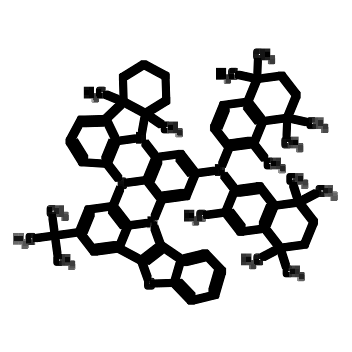 Cc1cc2c(cc1N(c1cc3c4c(c1)-n1c5c(cc(C(C)(C)C)cc5c5oc6ccccc6c51)B4c1cccc4c1N3C1(C)CCCCC41C)c1ccc3c(c1C)C(C)(C)CCC3(C)C)C(C)(C)CCC2(C)C